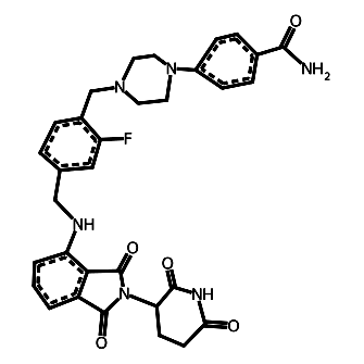 NC(=O)c1ccc(N2CCN(Cc3ccc(CNc4cccc5c4C(=O)N(C4CCC(=O)NC4=O)C5=O)cc3F)CC2)cc1